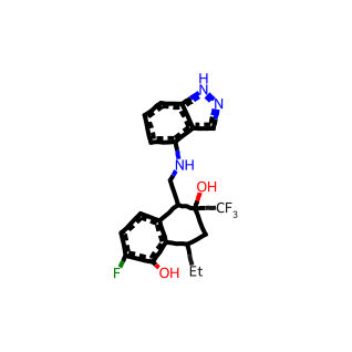 CCC1CC(O)(C(F)(F)F)C(CNc2cccc3[nH]ncc23)c2ccc(F)c(O)c21